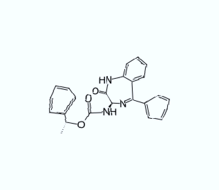 C[C@@H](OC(=O)N[C@@H]1N=C(c2ccccc2)c2ccccc2NC1=O)c1ccccc1